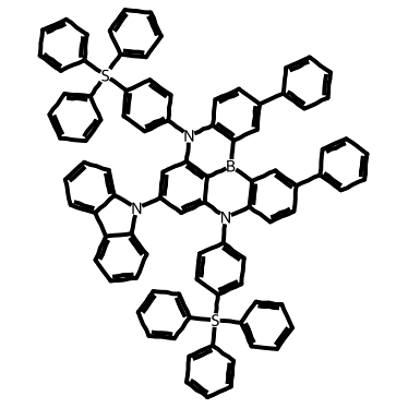 c1ccc(-c2ccc3c(c2)B2c4cc(-c5ccccc5)ccc4N(c4ccc(S(c5ccccc5)(c5ccccc5)c5ccccc5)cc4)c4cc(-n5c6ccccc6c6ccccc65)cc(c42)N3c2ccc(S(c3ccccc3)(c3ccccc3)c3ccccc3)cc2)cc1